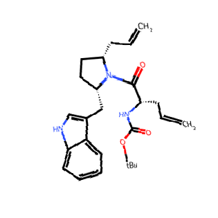 C=CC[C@H]1CC[C@@H](Cc2c[nH]c3ccccc23)N1C(=O)[C@H](CC=C)NC(=O)OC(C)(C)C